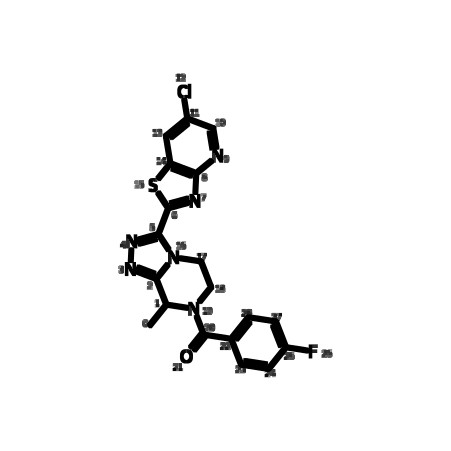 CC1c2nnc(-c3nc4ncc(Cl)cc4s3)n2CCN1C(=O)c1ccc(F)cc1